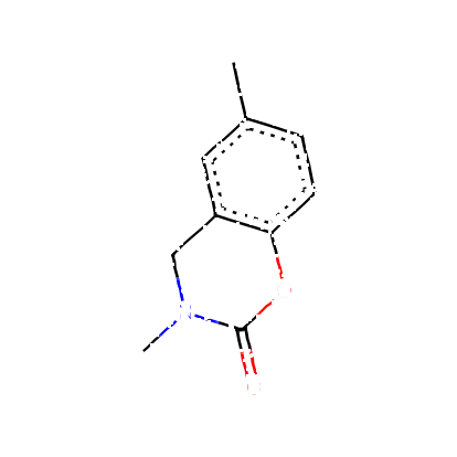 Cc1ccc2c(c1)CN(C)C(=O)O2